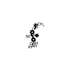 Cc1nnc(COc2ccc3c(C#N)c(-c4ccc(NC(=O)NC(C)C)cc4)n(C4CCC4)c3c2)s1